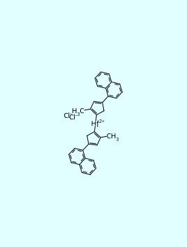 CC1=[C]([Hf+2][C]2=C(C)C=C(c3cccc4ccccc34)C2)CC(c2cccc3ccccc23)=C1.[Cl-].[Cl-]